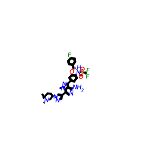 C[C@H](Oc1cc(-c2nn(C)c3c(-c4cnn(C5CCC(C)(C)N(C)C5)c4)cnc(N)c23)ccc1NS(=O)(=O)C(F)F)c1ccc(F)cc1